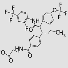 CCC[C@H](c1ccc(C(=O)NCCC(=O)O)cc1)[C@@H](C(=O)Nc1ccc(C(F)(F)F)cc1F)c1ccc(OC(F)(F)F)cc1